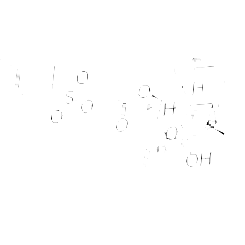 C=C[C@@]1(C)C[C@@H](OC(=O)COS(=O)(=O)c2ccc(C)cc2)C23C[C@H]2CC[C@]2(CCC(=O)[C@@H]32)[C@@H](C)[C@@H]1O